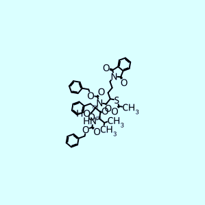 CC(=O)SC(CCCN1C(=O)c2ccccc2C1=O)C(=O)N(C(=O)OCc1ccccc1)[C@@](Cc1ccccc1)(C(=O)O)C(=O)[C@@H](NC(=O)OCc1ccccc1)C(C)C